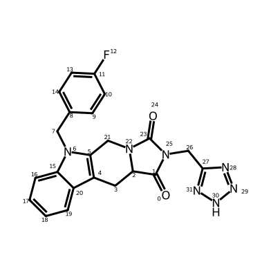 O=C1C2Cc3c(n(Cc4ccc(F)cc4)c4ccccc34)CN2C(=O)N1Cc1nn[nH]n1